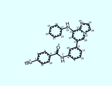 CC(C)(C)c1ccc(C(=O)Nc2cccc(-c3cc(Nc4ccccc4)c4nccn4c3)c2)cc1